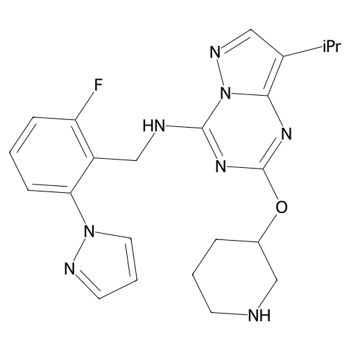 CC(C)c1cnn2c(NCc3c(F)cccc3-n3cccn3)nc(OC3CCCNC3)nc12